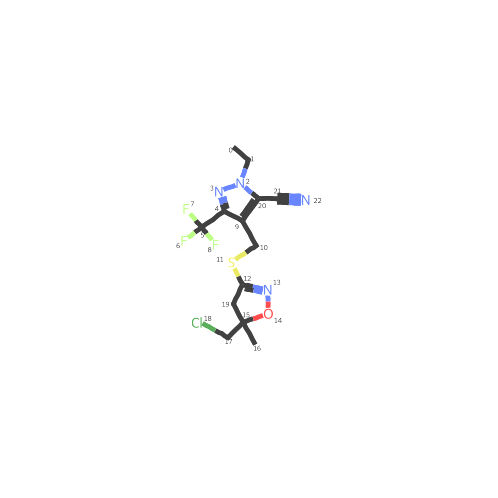 CCn1nc(C(F)(F)F)c(CSC2=NOC(C)(CCl)C2)c1C#N